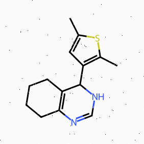 Cc1cc(C2NC=NC3=C2CCCC3)c(C)s1